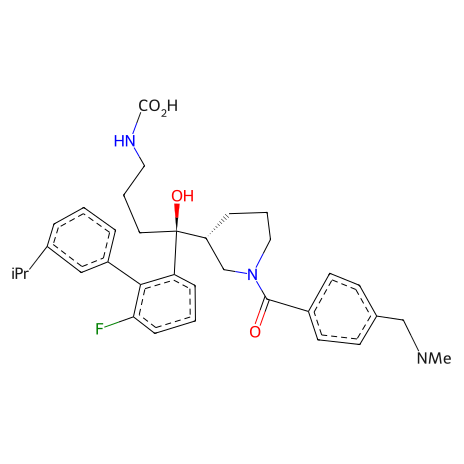 CNCc1ccc(C(=O)N2CCC[C@@H]([C@@](O)(CCCNC(=O)O)c3cccc(F)c3-c3cccc(C(C)C)c3)C2)cc1